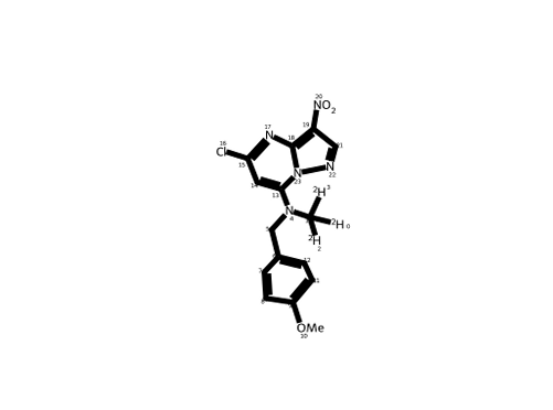 [2H]C([2H])([2H])N(Cc1ccc(OC)cc1)c1cc(Cl)nc2c([N+](=O)[O-])cnn12